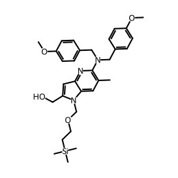 COc1ccc(CN(Cc2ccc(OC)cc2)c2nc3cc(CO)n(COCC[Si](C)(C)C)c3cc2C)cc1